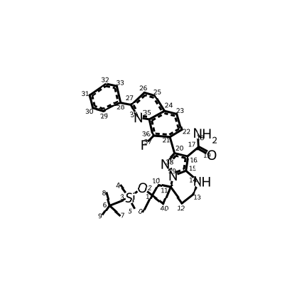 CC1(O[Si](C)(C)C(C)(C)C)CC2(CCNc3c(C(N)=O)c(-c4ccc5ccc(-c6ccccc6)nc5c4F)nn32)C1